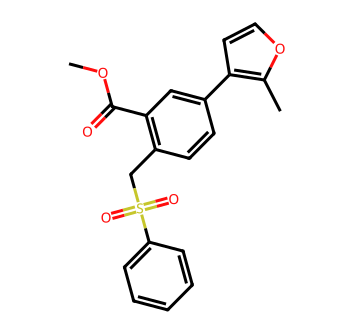 COC(=O)c1cc(-c2ccoc2C)ccc1CS(=O)(=O)c1ccccc1